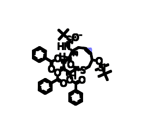 CC(C)(C)[S@@+]([O-])N[C@@H]1C/C=C\C(O[Si](C)(C)C(C)(C)C)CS[C@H]2O[C@H]1[C@H](OC(=O)c1ccccc1)[C@H](OC(=O)c1ccccc1)[C@H]2OC(=O)c1ccccc1